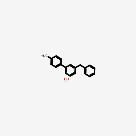 O.[CH2]c1ccc(-c2cccc(Cc3ccccc3)c2)cc1